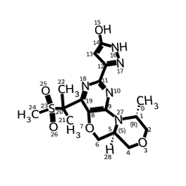 C[C@@H]1COC[C@H]2COc3c(nc(-c4cc(O)[nH]n4)nc3C(C)(C)S(C)(=O)=O)N21